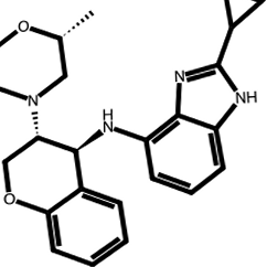 C[C@@H]1CN([C@H]2COc3ccccc3[C@@H]2Nc2cccc3[nH]c(C4CC4)nc23)CCO1